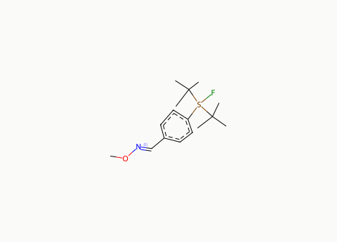 CO/N=C/c1ccc(S(F)(C(C)(C)C)C(C)(C)C)cc1